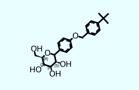 CC(C)(C)c1ccc(COc2ccc(C3O[C@H](CO)[C@@H](O)[C@H](O)[C@@H]3O)cc2)cc1